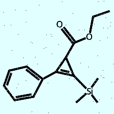 CCOC(=O)C1C(c2ccccc2)=C1[Si](C)(C)C